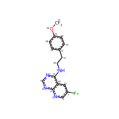 Fc1cnc2ncnc(NCCc3ccc(OC(F)(F)F)cc3)c2c1